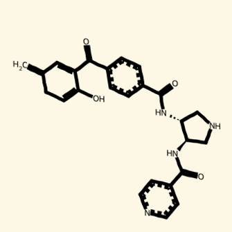 C=C1C=C(C(=O)c2ccc(C(=O)N[C@@H]3CNC[C@H]3NC(=O)c3ccncc3)cc2)C(O)=CC1